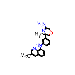 COc1cnc2c(Nc3cccc(C4(C)COCC(N)=N4)c3)cccc2c1